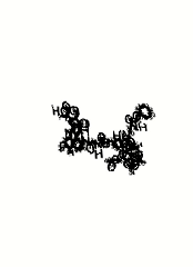 CC[C@@]1(O)C(=O)OCc2c1cc1n(c2=O)Cc2c-1nc1cc(F)c(C)c3c1c2[C@@H](NC(=O)CNC(=O)OCc1ccc(O[C@@H]2O[C@H](COC(C)=O)[C@@H](OC(C)=O)[C@H](OC(C)=O)[C@H]2OC(C)=O)c(C(=O)NCCNC(=O)COC2C#CCCCCC2)c1)CC3